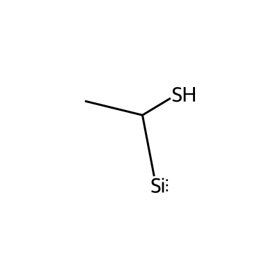 CC([Si])S